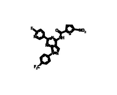 O=C(Nc1nc(-c2ccc(F)nc2)nc2c1cnn2-c1ccc(C(F)(F)F)cc1)c1ccc([N+](=O)[O-])s1